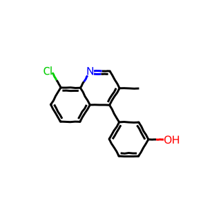 Cc1cnc2c(Cl)cccc2c1-c1cccc(O)c1